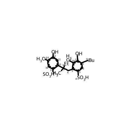 CCC(C)c1cc(S(=O)(=O)O)c(CC(C)(CC)c2cc(O)c(C)cc2S(=O)(=O)O)c(C)c1O